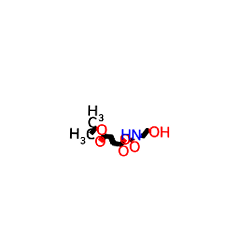 CC(C)OC(=O)C=CC(=O)OC(=O)NCCO